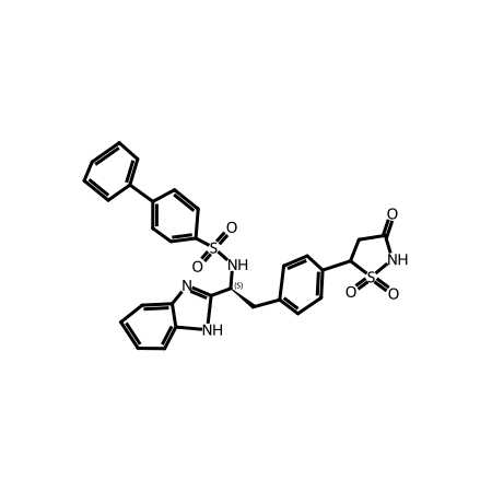 O=C1CC(c2ccc(C[C@H](NS(=O)(=O)c3ccc(-c4ccccc4)cc3)c3nc4ccccc4[nH]3)cc2)S(=O)(=O)N1